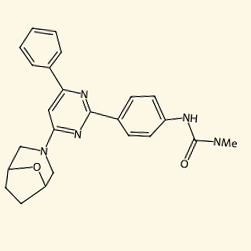 CNC(=O)Nc1ccc(-c2nc(-c3ccccc3)cc(N3CC4CCC(C3)O4)n2)cc1